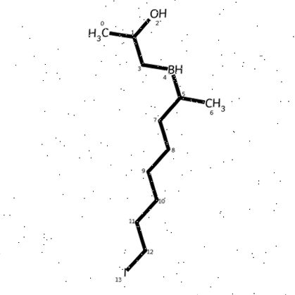 CC(O)CBC(C)CCCCCCI